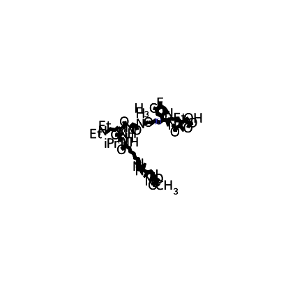 CCN(CC)CCCC[C@H](NC(=O)[C@@H](NC(=O)CCCCCn1cc(-c2cnc(S(C)(=O)=O)nc2)nn1)C(C)C)C(=O)NCC(=O)NCOC/C=C/c1c2c(nc3cc(F)c(C)cc13)-c1cc3c(c(=O)n1C2)COC(=O)[C@]3(O)CC